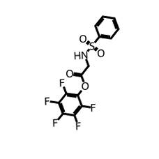 O=C(CNS(=O)(=O)c1ccccc1)Oc1c(F)c(F)c(F)c(F)c1F